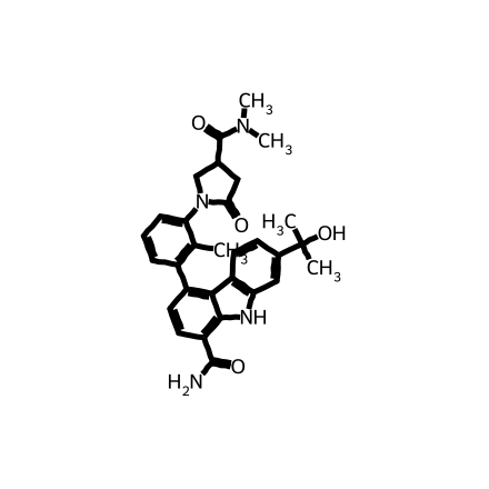 Cc1c(-c2ccc(C(N)=O)c3[nH]c4cc(C(C)(C)O)ccc4c23)cccc1N1CC(C(=O)N(C)C)CC1=O